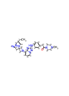 CCc1cnn(C2(CC#N)CN(c3cccn4nc(Nc5ccc(CC(=O)N6CCN(C)CC6)cc5)nc34)C2)c1